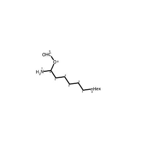 CCCCCCCCCCCC(N)OC=O